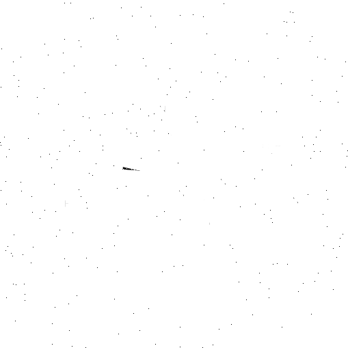 Cc1cc(NC(=O)N2CC[C@](c3ccc(C)c(F)c3)(c3ncns3)C2)c(C(=O)O)cn1